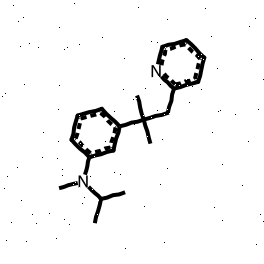 CC(C)N(C)c1cccc(C(C)(C)Cc2ccccn2)c1